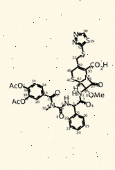 CO[C@@]1(NC(=O)C(NC(=O)N(C)C(=O)c2ccc(OC(C)=O)c(OC(C)=O)c2)c2ccccc2)C(=O)N2C(C(=O)O)=C(CSc3nncs3)CS[C@H]21